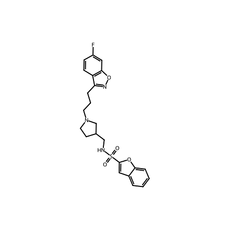 O=S(=O)(NCC1CCN(CCCc2noc3cc(F)ccc23)C1)c1cc2ccccc2o1